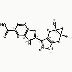 O=C(O)c1ccc2nc(-c3n[nH]c4c3C[C@@H]3C[C@@H]3C4)[nH]c2c1